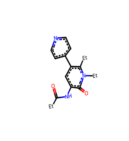 CCC(=O)Nc1cc(-c2ccncc2)c(CC)n(CC)c1=O